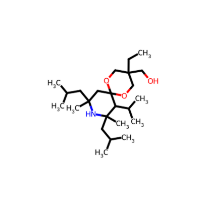 CCC1(CO)COC2(CC(C)(CC(C)C)NC(C)(CC(C)C)C2C(C)C)OC1